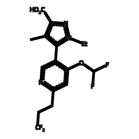 CCn1nc(C(=O)O)c(C)c1-c1cnc(CCC(F)(F)F)cc1OC(F)F